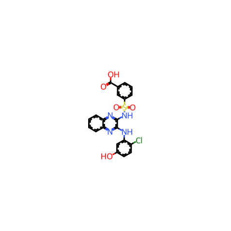 O=C(O)c1cccc(S(=O)(=O)Nc2nc3ccccc3nc2Nc2cc(O)ccc2Cl)c1